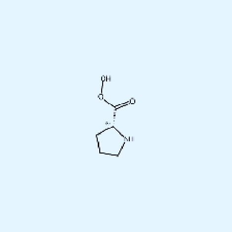 O=C(OO)[C@H]1CCCN1